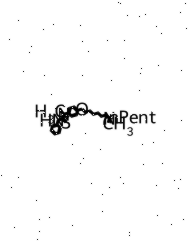 CCCCCN(C)CCCCCCOc1ccc(N(C)C(=S)Nc2ccccc2)cc1